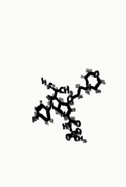 CC(C)c1nn(-c2ccc(F)cc2)c2nc(C(=O)NS(C)(=O)=O)cc(OCCCN3CCOCC3)c12